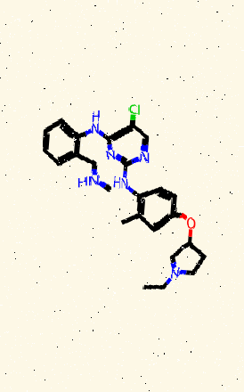 CCN1CCC(Oc2ccc(Nc3ncc(Cl)c(Nc4ccccc4CNC)n3)c(C)c2)C1